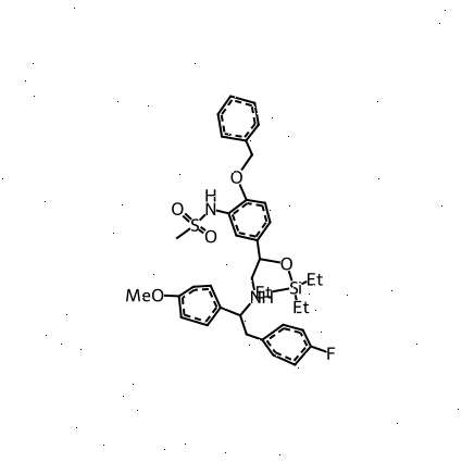 CC[Si](CC)(CC)OC(CNC(Cc1ccc(F)cc1)c1ccc(OC)cc1)c1ccc(OCc2ccccc2)c(NS(C)(=O)=O)c1